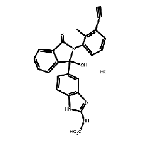 C#Cc1cccc(N2C(=O)c3ccccc3C2(O)c2ccc3[nH]c(NC(=O)O)nc3c2)c1C.Cl